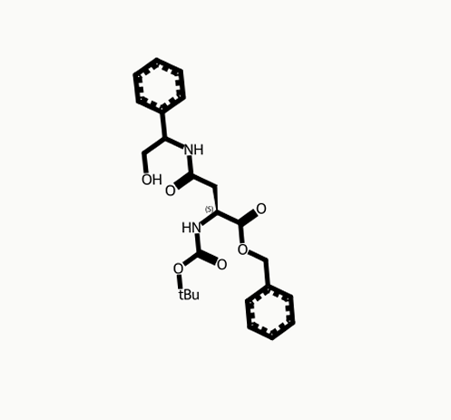 CC(C)(C)OC(=O)N[C@@H](CC(=O)NC(CO)c1ccccc1)C(=O)OCc1ccccc1